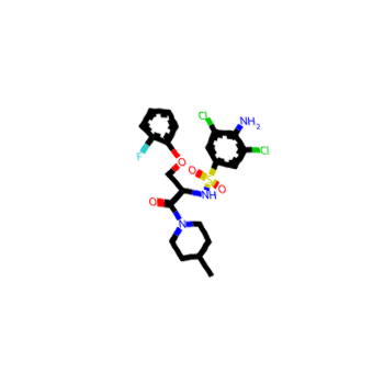 CC1CCN(C(=O)C(COc2ccccc2F)NS(=O)(=O)c2cc(Cl)c(N)c(Cl)c2)CC1